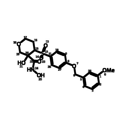 COc1cccc(COc2ccc(S(=O)(=O)C3CCOCC3(O)C(=O)NO)cc2)c1